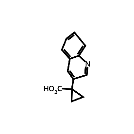 O=C(O)C1(c2cnc3ccccc3c2)CC1